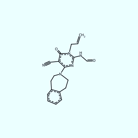 C=CCn1c(NC=O)nc(N2CCc3ccccc3CC2)c(C#N)c1=O